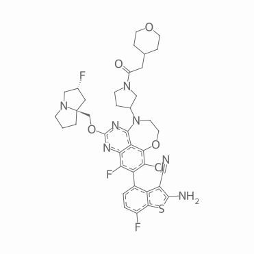 N#Cc1c(N)sc2c(F)ccc(-c3c(Cl)c4c5c(nc(OC[C@@]67CCCN6C[C@H](F)C7)nc5c3F)N(C3CCN(C(=O)CC5CCOCC5)C3)CCO4)c12